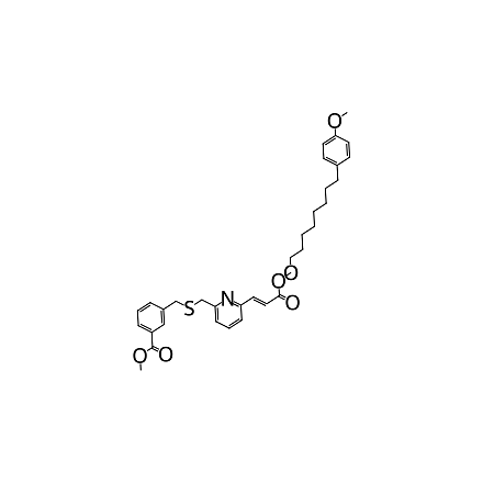 COC(=O)c1cccc(CSCc2cccc(C=CC(=O)OOCCCCCCCCc3ccc(OC)cc3)n2)c1